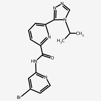 CC(C)n1cnnc1-c1cccc(C(=O)Nc2cc(Br)ccn2)n1